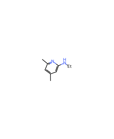 CCNc1cc(C)cc(C)n1